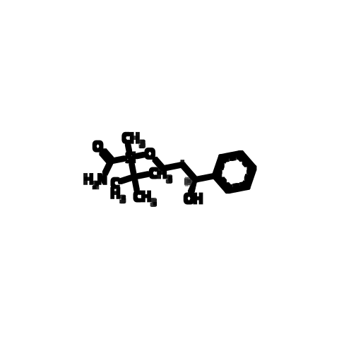 CC(C)(C)[Si](C)(OC[CH][C@H](O)c1ccccc1)C(N)=O